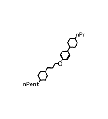 CCCCCC1CCC(/C=C/COc2ccc(C3CCC(CCC)CC3)cc2)CC1